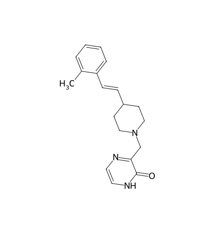 Cc1ccccc1/C=C/C1CCN(Cc2ncc[nH]c2=O)CC1